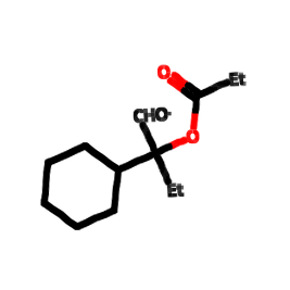 CCC(=O)OC([C]=O)(CC)C1CCCCC1